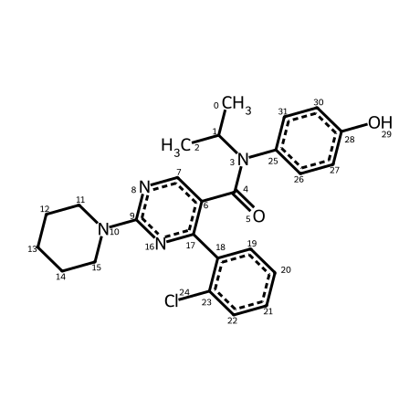 CC(C)N(C(=O)c1cnc(N2CCCCC2)nc1-c1ccccc1Cl)c1ccc(O)cc1